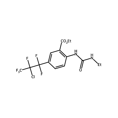 CCNC(=O)Nc1ccc(C(F)(F)C(F)(Cl)C(F)(F)F)cc1C(=O)OCC